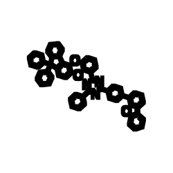 c1ccc(-c2nc(-c3ccc(-c4cccc5c4oc4ccccc45)cc3)nc(-c3cccc4c3Oc3ccc5c(c3O4)-c3ccccc3C5(c3ccccc3)c3ccccc3)n2)cc1